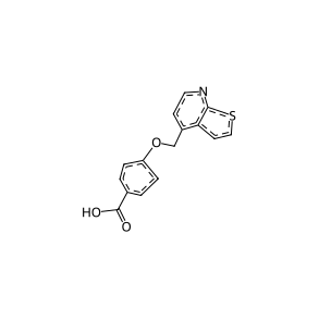 O=C(O)c1ccc(OCc2ccnc3sccc23)cc1